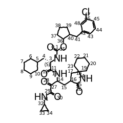 O=C(N[C@@H](CC1CCCCC1)C(=O)NC(CC1CC2(CCCCC2)NC1=O)C(=O)C(=O)NC1CC1)OC1CCCC1Cc1cccc(Cl)c1